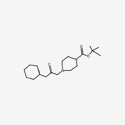 CC(C)(C)OC(=O)N1CCN(CC(=O)CC2CCCCC2)CC1